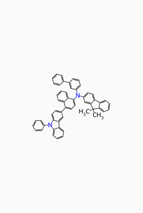 CC1(C)c2ccccc2-c2ccc(N(c3cccc(-c4ccccc4)c3)c3ccc(-c4ccc5c(c4)c4ccccc4n5-c4ccccc4)c4ccccc34)cc21